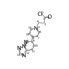 O=C(Cl)CC[n+]1ccc(-c2ccc3ncnn3n2)cc1